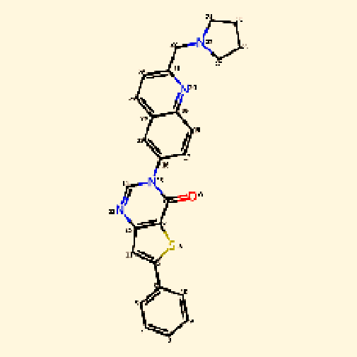 O=c1c2sc(-c3ccccc3)cc2ncn1-c1ccc2nc(CN3CCCC3)ccc2c1